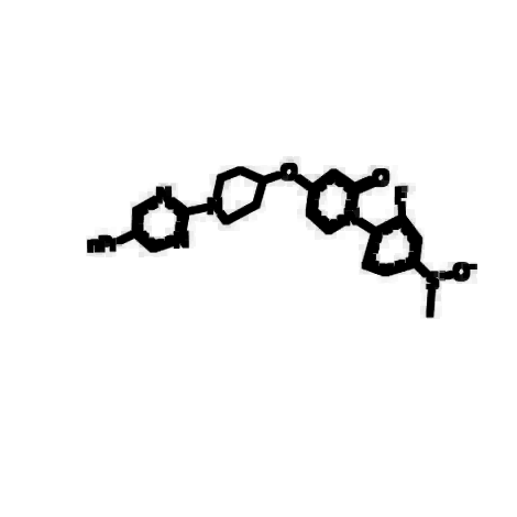 CCCc1cnc(N2CCC(Oc3ccn(-c4ccc([S+](C)[O-])cc4F)c(=O)c3)CC2)nc1